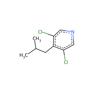 CC(C)Cc1c(Cl)cncc1Cl